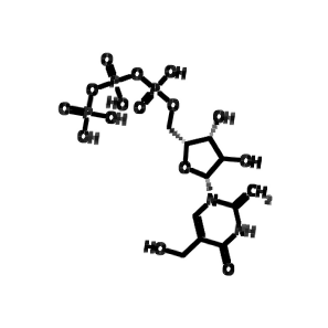 C=C1NC(=O)C(CO)=CN1[C@@H]1O[C@H](COP(=O)(O)OP(=O)(O)OP(=O)(O)O)[C@H](O)C1O